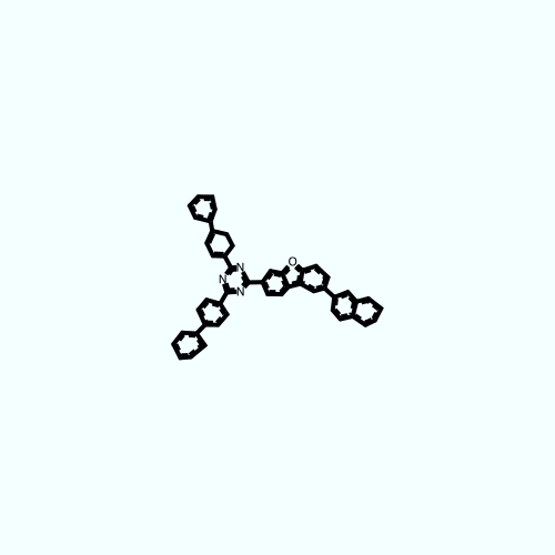 C1=C(c2ccccc2)CCC(c2nc(-c3ccc(-c4ccccc4)cc3)nc(-c3ccc4c(c3)oc3ccc(-c5ccc6ccccc6c5)cc34)n2)=C1